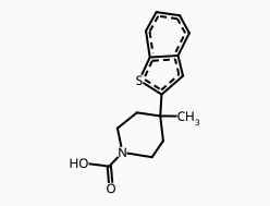 CC1(c2cc3ccccc3s2)CCN(C(=O)O)CC1